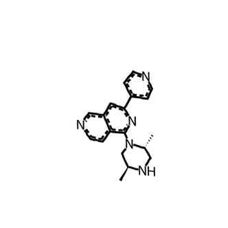 C[C@@H]1CN[C@@H](C)CN1c1nc(-c2ccncc2)cc2cnccc12